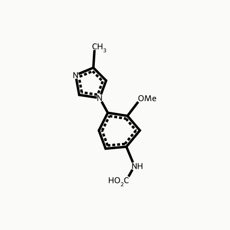 COc1cc(NC(=O)O)ccc1-n1cnc(C)c1